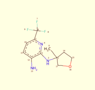 CC1(Nc2nc(C(F)(F)F)ccc2N)CCOC1